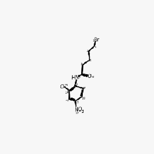 O=C(CCCCBr)Nc1ccc([N+](=O)[O-])cc1Cl